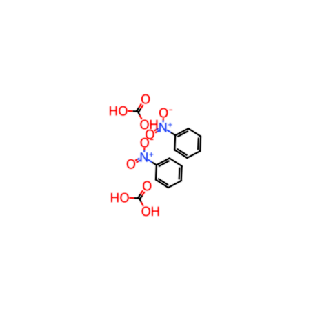 O=C(O)O.O=C(O)O.O=[N+]([O-])c1ccccc1.O=[N+]([O-])c1ccccc1